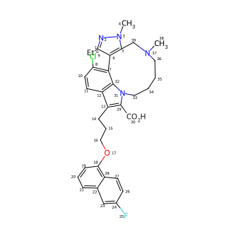 CCc1nn(C)c2c1-c1c(Cl)ccc3c(CCCOc4cccc5cc(F)ccc45)c(C(=O)O)n(c13)CCCCN(C)C2